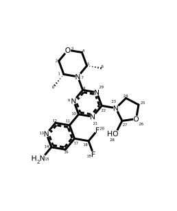 C[C@@H]1COC[C@H](C)N1c1nc(-c2cnc(N)cc2C(F)F)nc(N2CCOC2O)n1